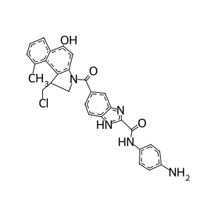 Cc1cccc2c(O)cc3c(c12)C(CCl)CN3C(=O)c1ccc2[nH]c(C(=O)Nc3ccc(N)cc3)nc2c1